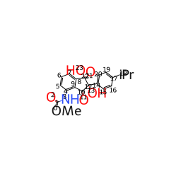 COC(=O)Nc1cccc2c1C(=O)C1(O)c3ccc(C(C)C)cc3OC21O